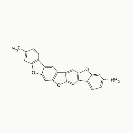 Cc1ccc2c(c1)oc1cc3oc4cc5c(cc4c3cc12)oc1cc(N)ccc15